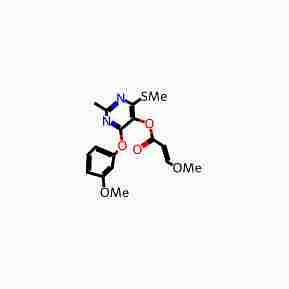 COC=CC(=O)Oc1c(Oc2cccc(OC)c2)nc(C)nc1SC